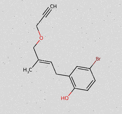 C#CCOC/C(C)=C/Cc1cc(Br)ccc1O